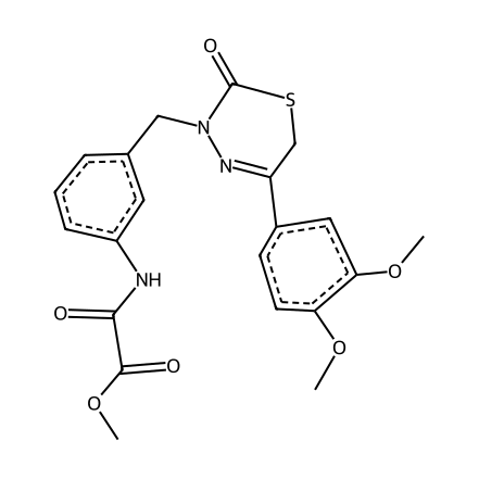 COC(=O)C(=O)Nc1cccc(CN2N=C(c3ccc(OC)c(OC)c3)CSC2=O)c1